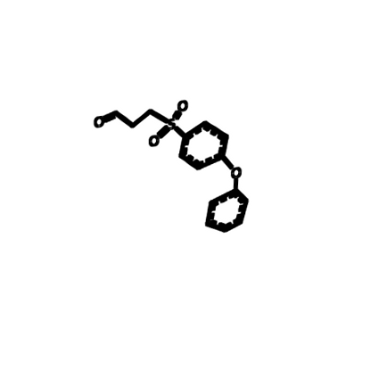 O=CCCS(=O)(=O)c1ccc(Oc2ccccc2)cc1